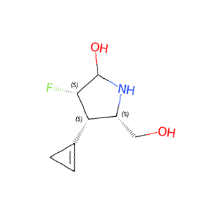 OC[C@H]1NC(O)[C@@H](F)[C@H]1C1=CC1